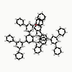 c1ccc(-c2ccc3c(c2)c2cc(-c4cc(-c5ccccc5)nc(-c5ccccc5)c4)ccc2n3-c2c(-c3nc(-c4ccccc4)nc(-c4ccccc4)n3)cc(-c3nc(-c4ccccc4)nc(-c4ccccc4)n3)cc2-n2c3ccccc3c3ccccc32)cc1